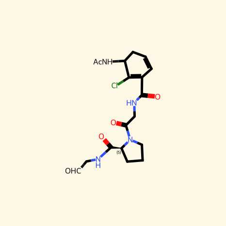 CC(=O)NC1CC=CC(C(=O)NCC(=O)N2CCC[C@H]2C(=O)NCC=O)=C1Cl